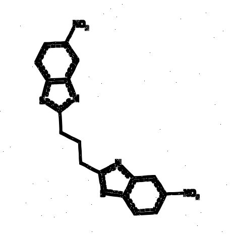 O=[N+]([O-])c1ccc2sc(CCCc3nc4cc([N+](=O)[O-])ccc4s3)nc2c1